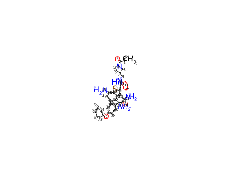 C=CC(=O)N1CCC(CNC(=O)c2sc3c(N)ccc4c3c2C(N)C(=O)C4(N)c2ccc(Oc3ccccc3)cc2)C1